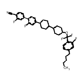 CCCCCc1ccc(C(F)(F)OC2CCC(C3CCC(c4ccc(-c5ccc(C#N)c(F)c5)c(F)c4)CC3)CC2)c(F)c1